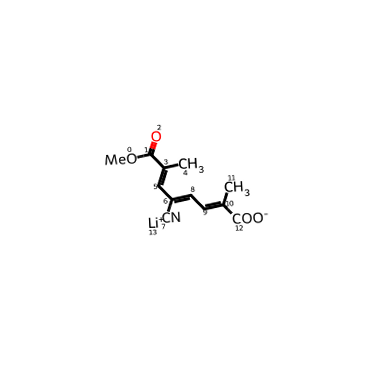 COC(=O)C(C)=CC(C#N)=CC=C(C)C(=O)[O-].[Li+]